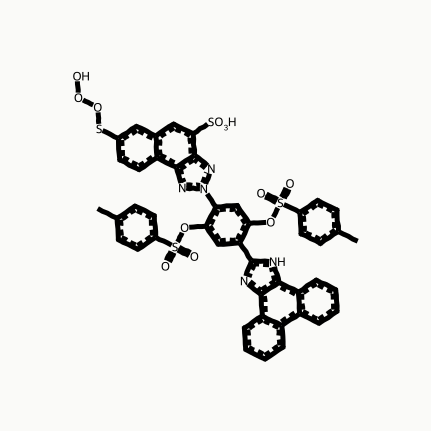 Cc1ccc(S(=O)(=O)Oc2cc(-n3nc4c(S(=O)(=O)O)cc5cc(SOOO)ccc5c4n3)c(OS(=O)(=O)c3ccc(C)cc3)cc2-c2nc3c4ccccc4c4ccccc4c3[nH]2)cc1